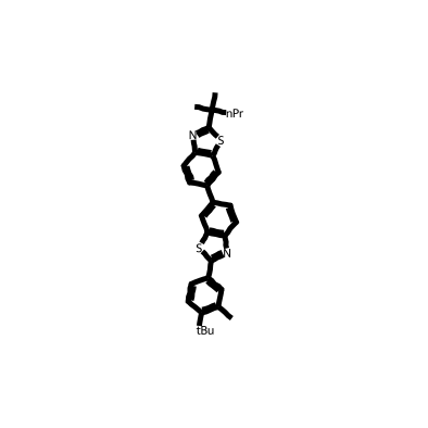 CCCC(C)(C)c1nc2ccc(-c3ccc4nc(-c5ccc(C(C)(C)C)c(C)c5)sc4c3)cc2s1